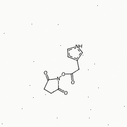 O=C(Cc1cc[nH]c1)ON1C(=O)CCC1=O